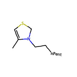 CCCCCCCN1CSC=C1C